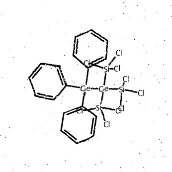 Cl[Si](Cl)(Cl)[Ge]([Si](Cl)(Cl)Cl)([Si](Cl)(Cl)Cl)[Ge]([c]1ccccc1)([c]1ccccc1)[c]1ccccc1